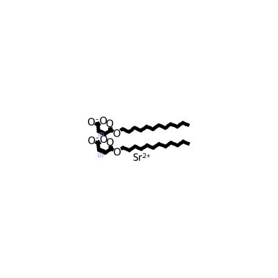 CCCCCCCCCCCCOC(=O)/C=C\C(=O)[O-].CCCCCCCCCCCCOC(=O)/C=C\C(=O)[O-].[Sr+2]